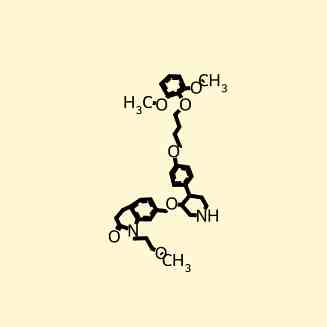 COCCCN1C(=O)CCc2ccc(COC3CNCCC3c3ccc(OCCCCOc4c(OC)cccc4OC)cc3)cc21